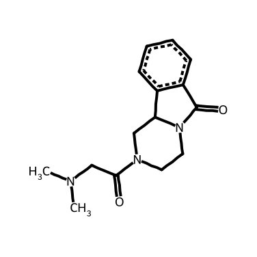 CN(C)CC(=O)N1CCN2C(=O)c3ccccc3C2C1